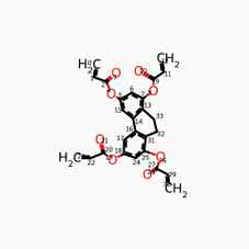 C=CC(=O)Oc1cc(OC(=O)C=C)c2c(c1)-c1cc(OC(=O)C=C)cc(OC(=O)C=C)c1CC2